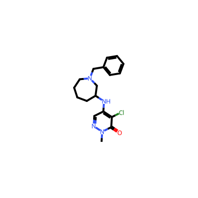 Cn1ncc(NC2CCCCN(Cc3ccccc3)C2)c(Cl)c1=O